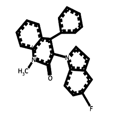 Cn1c(=O)c(-n2ccc3cc(F)ccc32)c(-c2ccccc2)c2ccccc21